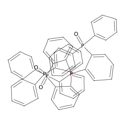 O=P(c1ccccc1)(c1ccccc1)c1ccccc1P(c1ccccc1P(=O)(c1ccccc1)c1ccccc1)c1ccccc1P(=O)(c1ccccc1)c1ccccc1